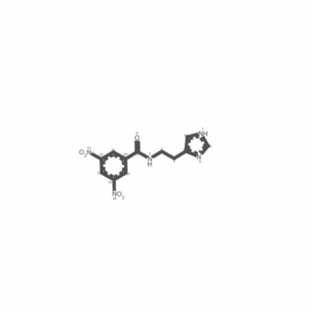 O=C(NCCc1c[nH]cn1)c1cc([N+](=O)[O-])cc([N+](=O)[O-])c1